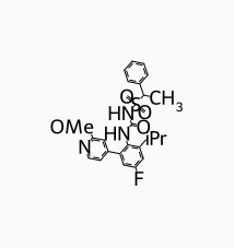 COc1cc(-c2cc(F)cc(C(C)C)c2NC(=O)NS(=O)(=O)C(C)c2ccccc2)ccn1